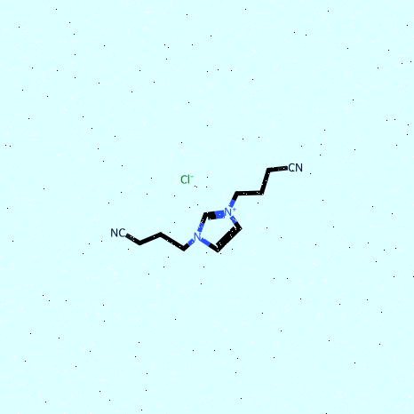 N#CCCCn1cc[n+](CCCC#N)c1.[Cl-]